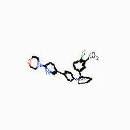 O=[N+]([O-])c1cc([C@H]2CCCN2c2ccc(-c3ccc(N4CCOCC4)nc3)cc2)ccc1Cl